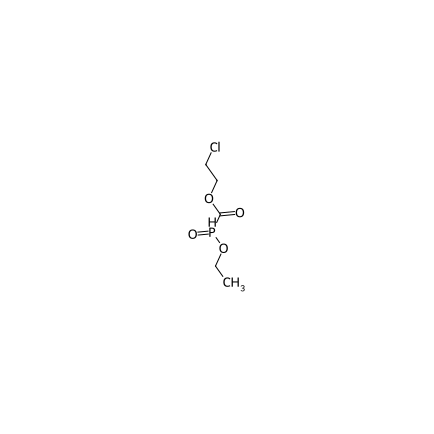 CCO[PH](=O)C(=O)OCCCl